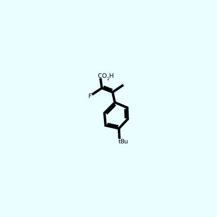 CC(=C(F)C(=O)O)c1ccc(C(C)(C)C)cc1